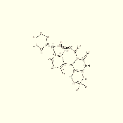 COC(=O)C1C(=O)NC2=C(CCC(C)(C)C2)C1c1c(C)ccc2c1cnn2C1CCCCO1